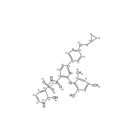 Cc1cc(C)c(Oc2nc(-c3ccc(OCC4CC4)cc3)ccc2C(=O)NS(=O)(=O)C2=CC=CNC2O)c(C)c1